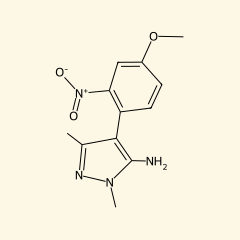 COc1ccc(-c2c(C)nn(C)c2N)c([N+](=O)[O-])c1